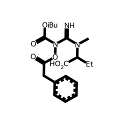 CCC(C(=O)O)N(C)C(=N)N(OC(=O)Cc1ccccc1)C(=O)OCC(C)C